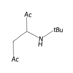 CC(=O)CC(NC(C)(C)C)C(C)=O